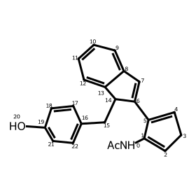 CC(=O)NC1=CCC=C1C1=Cc2ccccc2C1Cc1ccc(O)cc1